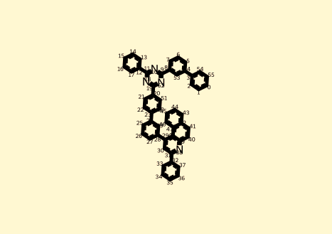 c1ccc(-c2cccc(-c3nc(-c4ccccc4)nc(-c4ccc(-c5cccc(-c6cc(-c7ccccc7)nc7ccc8ccccc8c67)c5)cc4)n3)c2)cc1